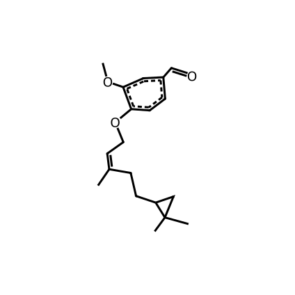 COc1cc(C=O)ccc1OCC=C(C)CCC1CC1(C)C